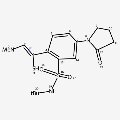 CN/C=C(\S)c1ccc(N2CCCC2=O)cc1S(=O)(=O)NC(C)(C)C